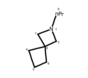 CCCN1CC2(C[CH]C2)C1